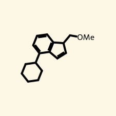 COCC1C=Cc2c1cccc2C1CCCCC1